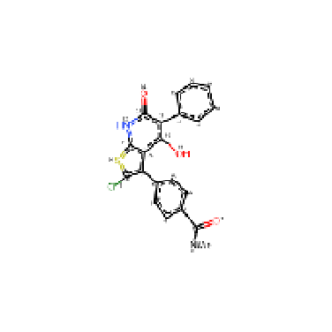 CNC(=O)c1ccc(-c2c(Cl)sc3[nH]c(=O)c(-c4ccccc4)c(O)c23)cc1